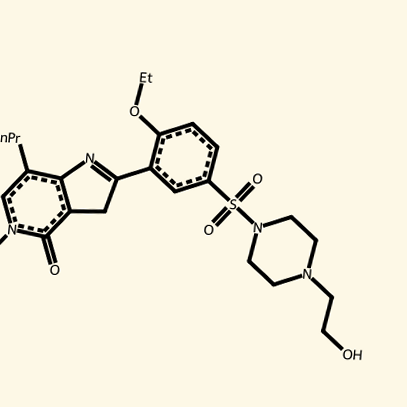 CCCc1cn(C)c(=O)c2c1N=C(c1cc(S(=O)(=O)N3CCN(CCO)CC3)ccc1OCC)C2